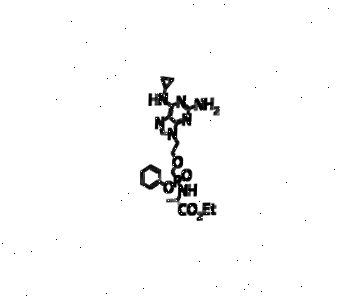 CCOC(=O)[C@H](C)NP(=O)(COCCn1cnc2c(NC3CC3)nc(N)nc21)Oc1ccccc1